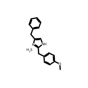 COc1ccc(Cc2nc(Cc3ccccc3)c[nH]2)cc1.S